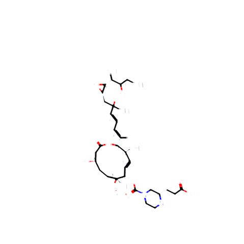 CCC(O)C(C)[C@H]1O[C@@H]1CC(C)(O)/C=C/C=C(\C)[C@H]1OC(=O)C[C@H](O)CC[C@@](C)(OC)[C@@H](OC(=O)N2CCN[C@@H](CCC(=O)O)C2)/C=C/[C@@H]1C